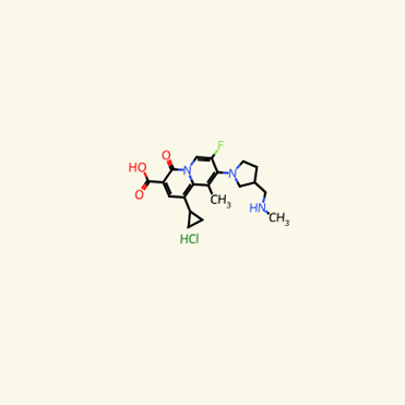 CNCC1CCN(c2c(F)cn3c(=O)c(C(=O)O)cc(C4CC4)c3c2C)C1.Cl